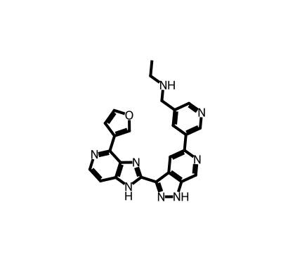 CCNCc1cncc(-c2cc3c(-c4nc5c(-c6ccoc6)nccc5[nH]4)n[nH]c3cn2)c1